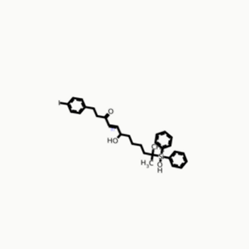 CC(C)(CCCCC(O)/C=C/C(=O)CCc1ccc(I)cc1)[Si](O)(c1ccccc1)c1ccccc1